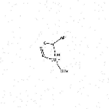 C=CC(=O)O.CCCC(O)O.COC